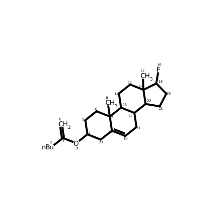 C=C(CCCC)OC1CCC2(C)C(=CCC3C2CCC2(C)C(F)CCC32)C1